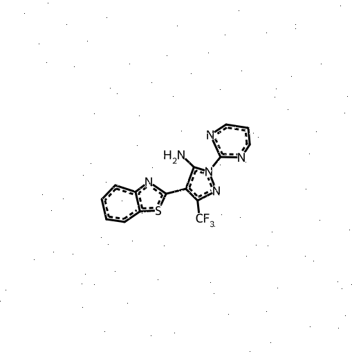 Nc1c(-c2nc3ccccc3s2)c(C(F)(F)F)nn1-c1ncccn1